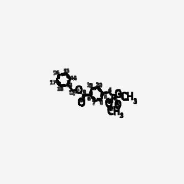 COP(=O)(Cc1ccc(C(=O)OCc2ccccc2)cc1)OC